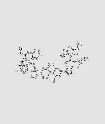 COC(=O)NC(C(=O)N1C2C(C)C2C[C@H]1c1ncc(-c2cc3c4c(c2)OCc2cc(-c5cnc([C@@H]6C[C@H]7C[C@H]7N6C(=O)[C@H](NC(=O)OC)c6ccccc6)[nH]5)cc(c2-4)OC3)[nH]1)C(C)C